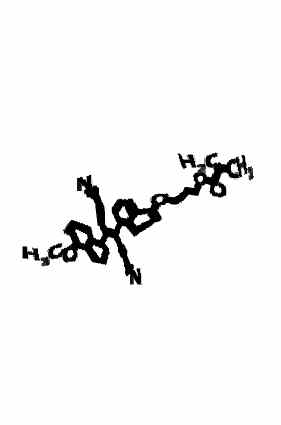 C=C(C)C(=O)OCCCOc1cccc2c(/C(C#CC#N)=C(\C#CC#N)c3cccc4c(OC)cccc34)cccc12